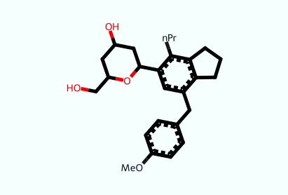 CCCc1c(C2CC(O)CC(CO)O2)cc(Cc2ccc(OC)cc2)c2c1CCC2